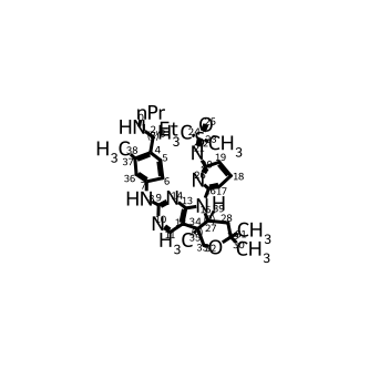 CCCN[C@H](CC)c1ccc(Nc2ncc3c(n2)N(c2cccc(N=S(C)(C)=O)n2)[C@@H]2CC(C)(C)OC[C@]32C)cc1C